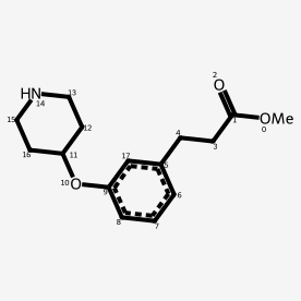 COC(=O)CCc1cccc(OC2CCNCC2)c1